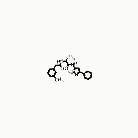 Cc1cccc(CC(=O)NC(C)C(=O)Nc2cc(-c3ccccc3)n[nH]2)c1